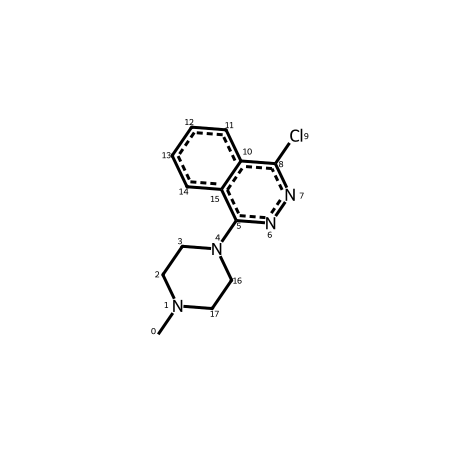 CN1CCN(c2nnc(Cl)c3ccccc23)CC1